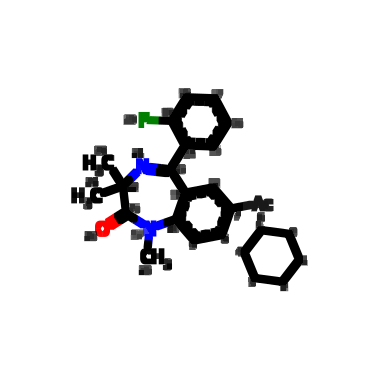 C1CCCCC1.CC(=O)c1ccc2c(c1)C(c1ccccc1F)=NC(C)(C)C(=O)N2C